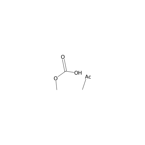 CC(C)=O.COC(=O)O